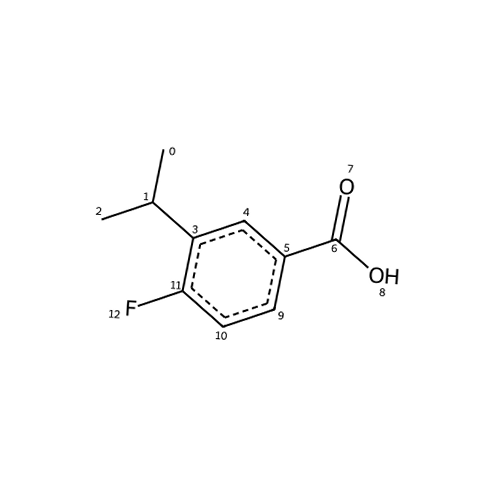 CC(C)c1cc(C(=O)O)ccc1F